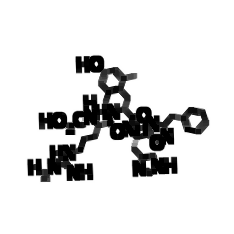 Cc1cc(O)cc(C)c1CC(NC(=O)C(CCCNC(=N)N)NC(=O)O)C(=O)N[C@@H](Cc1c[nH]cn1)c1nc(Cc2ccccc2)no1